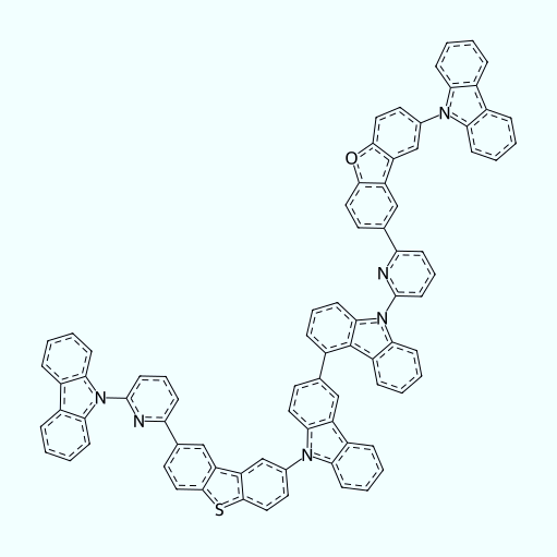 c1cc(-c2ccc3sc4ccc(-n5c6ccccc6c6cc(-c7cccc8c7c7ccccc7n8-c7cccc(-c8ccc9oc%10ccc(-n%11c%12ccccc%12c%12ccccc%12%11)cc%10c9c8)n7)ccc65)cc4c3c2)nc(-n2c3ccccc3c3ccccc32)c1